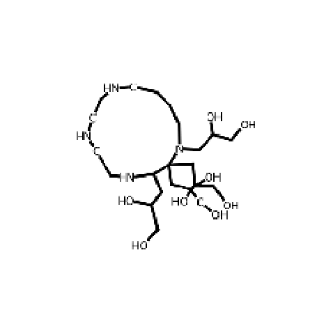 OCC(O)CC1NCCNCCNCCCCN(CC(O)CO)C1(CC(O)CO)CC(O)CO